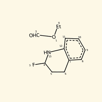 CCOC=O.FC1CCc2ccccc2N1